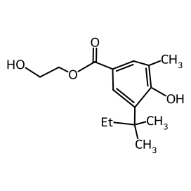 CCC(C)(C)c1cc(C(=O)OCCO)cc(C)c1O